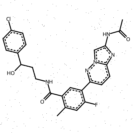 CC(=O)Nc1cn2nc(-c3cc(C(=O)NCCC(O)c4ccc(Cl)cc4)c(C)cc3F)ccc2n1